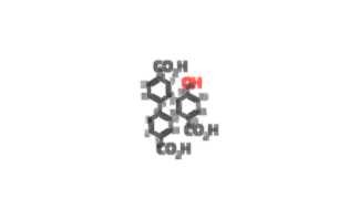 O=C(O)c1ccc(-c2ccc(C(=O)O)cc2)cc1.O=C(O)c1ccc(O)cc1